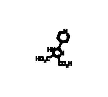 O=C(O)c1nc(-c2ccncc2)[nH]c1C(=O)O